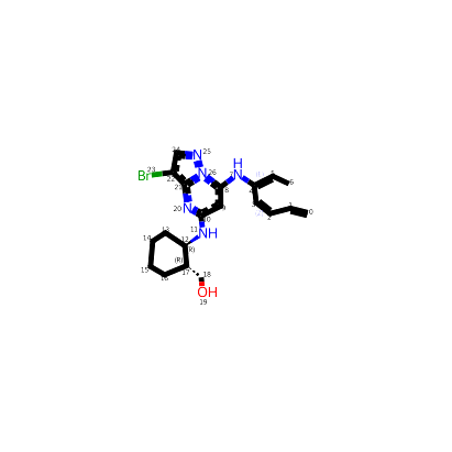 C=C/C=C\C(=C/C)Nc1cc(N[C@@H]2CCCC[C@H]2CO)nc2c(Br)cnn12